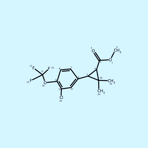 COC(=O)C1C(c2ccc(OC(F)(F)F)c(Cl)c2)C1(C)C